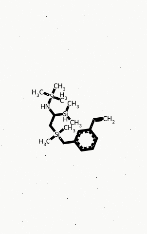 C=Cc1cccc(C[Si](C)(C)CC(N[Si](C)(C)C)[SiH](C)C)c1